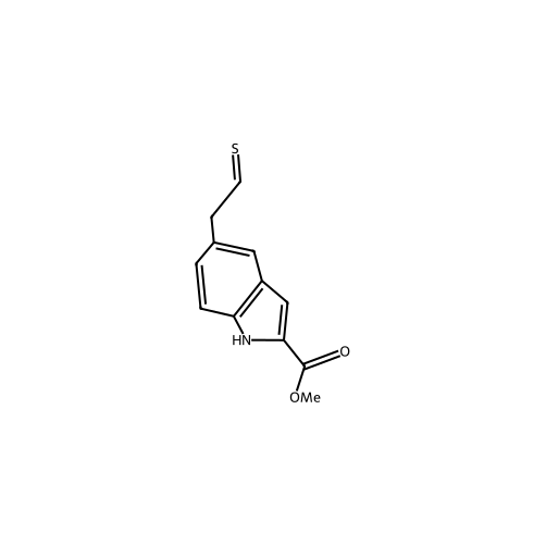 COC(=O)c1cc2cc(CC=S)ccc2[nH]1